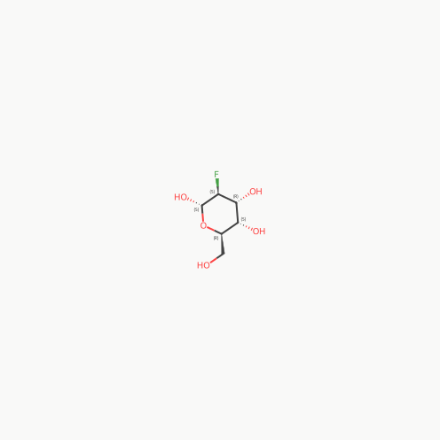 OC[C@H]1O[C@H](O)[C@@H](F)[C@H](O)[C@@H]1O